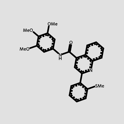 COc1cc(NC(=O)c2cc(-c3ccccc3SC)nc3ccccc23)cc(OC)c1OC